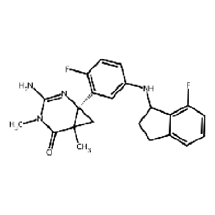 CN1C(=O)C2(C)C[C@]2(c2cc(NC3CCc4cccc(F)c43)ccc2F)N=C1N